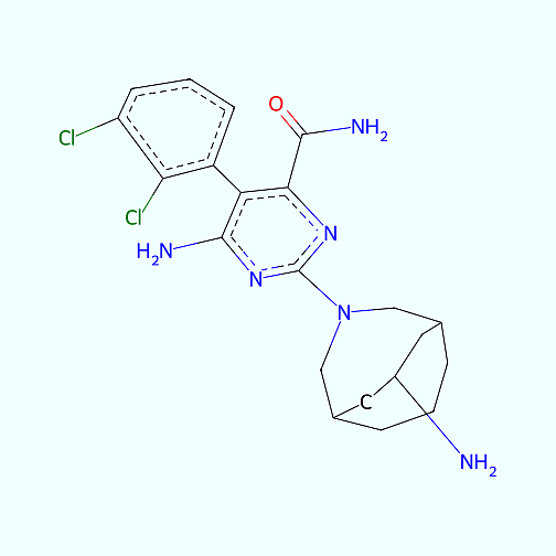 NC(=O)c1nc(N2CC3CCCC(CC(N)C3)C2)nc(N)c1-c1cccc(Cl)c1Cl